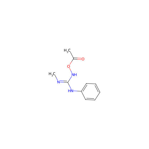 CN=C(NOC(C)=O)Nc1ccccc1